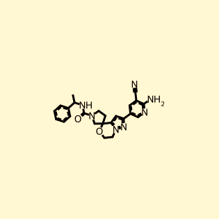 CC(NC(=O)N1CCC2(C1)OCCn1nc(-c3cnc(N)c(C#N)c3)cc12)c1ccccc1